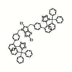 CCc1nc2c(Cc3ccc(-c4ccccc4-c4nnnn4C(c4ccccc4)(c4ccccc4)c4ccccc4)cc3)c(CC)n(Cc3ccc(-c4ccccc4-c4nnnn4C(c4ccccc4)(c4ccccc4)c4ccccc4)cc3)n2n1